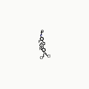 O=C/C=C/c1ccc(C2CCC3N2CCc2nc4cc(N(CCCl)CCCl)ccc4n23)c(F)c1